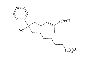 CCCCCC(C)=CCCC(CCCCCCC(=O)OCC)(C(C)=O)c1ccccc1